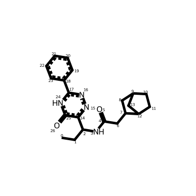 CCC(NC(=O)CC1CC2CCC1C2)c1nnc(-c2ccccc2)[nH]c1=O